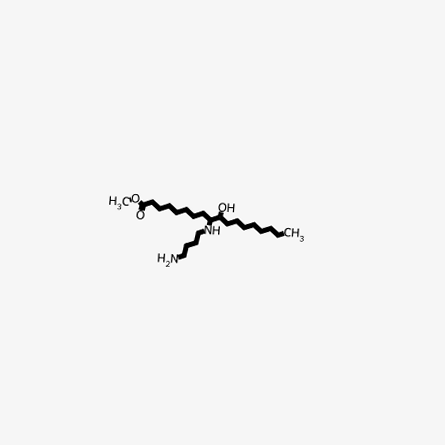 CCCCCCCCC(O)C(CCCCCCCC(=O)OC)NCCCCN